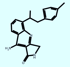 Cc1ccc(CC(C)c2cccc3c(N)c4c(nc23)CNC4=O)cc1